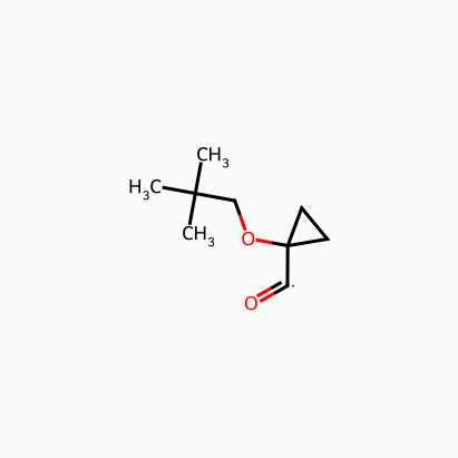 CC(C)(C)COC1([C]=O)CC1